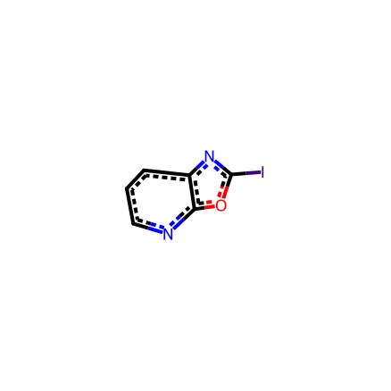 Ic1nc2cccnc2o1